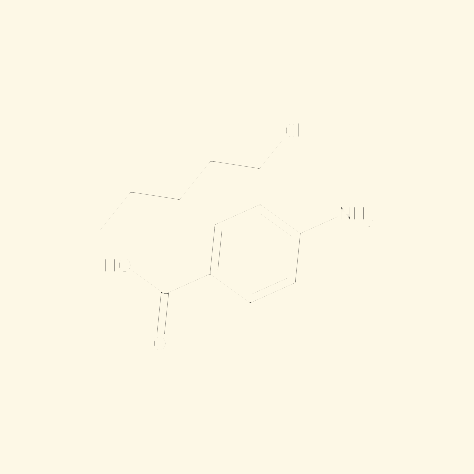 CCCCCCl.Nc1ccc(C(=O)O)cc1